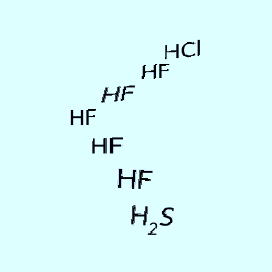 Cl.F.F.F.F.F.S